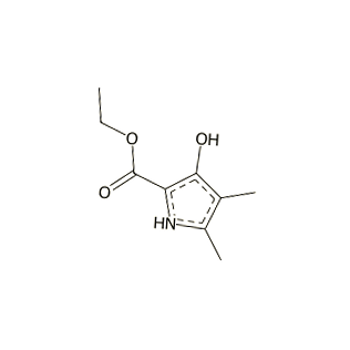 CCOC(=O)c1[nH]c(C)c(C)c1O